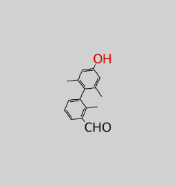 Cc1cc(O)cc(C)c1-c1cccc(C=O)c1C